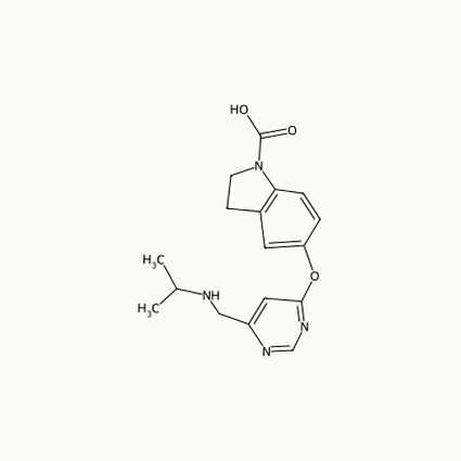 CC(C)NCc1cc(Oc2ccc3c(c2)CCN3C(=O)O)ncn1